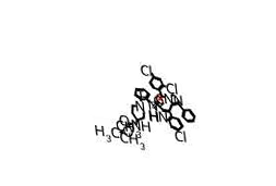 C[C@@H](c1ccc(Cl)cc1Cl)n1cnc(-c2ccccc2)c1-c1c(C(=O)Nc2ccccc2N2CCC(NC(=O)OC(C)(C)C)CC2)[nH]c2cc(Cl)ccc12